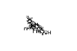 CCCc1cc2c(N[C@H]3CC[C@H](O)CC3)c(Br)cnc2n1S(=O)(=O)c1ccc(C)cc1